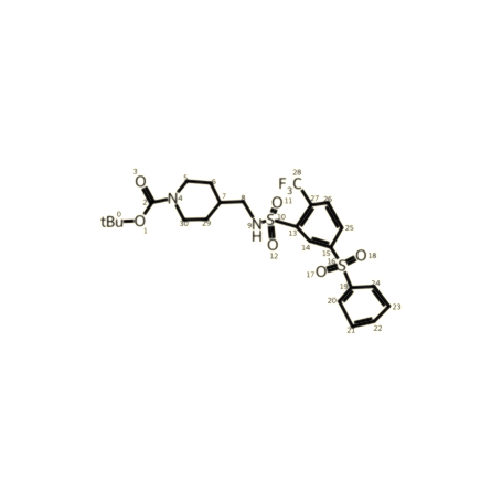 CC(C)(C)OC(=O)N1CCC(CNS(=O)(=O)c2cc(S(=O)(=O)c3ccccc3)ccc2C(F)(F)F)CC1